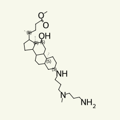 COC(=O)CC[C@@H](C)C1CCC2C3CCC4C[C@@H](NCCCN(C)CCCN)CC[C@]4(C)C3C[C@H](O)[C@@]21C